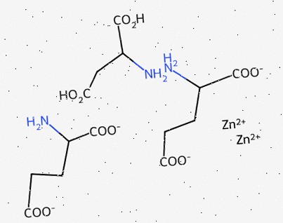 NC(CC(=O)O)C(=O)O.NC(CCC(=O)[O-])C(=O)[O-].NC(CCC(=O)[O-])C(=O)[O-].[Zn+2].[Zn+2]